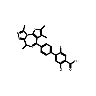 Cc1sc2c(c1C)C(c1ccc(-c3cc(Cl)c(C(=O)O)cc3F)cc1)=NC(C)c1nnc(C)n1-2